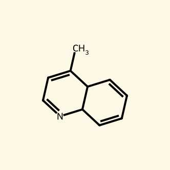 CC1=CC=NC2C=CC=CC12